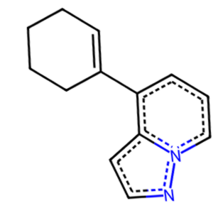 C1=C(c2cccn3nccc23)CCCC1